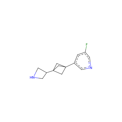 Fc1cncc(C23CC(C4CNC4)(C2)C3)c1